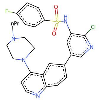 CCCN1CCN(c2ccnc3ccc(-c4cnc(Cl)c(NS(=O)(=O)c5ccc(F)cc5)c4)cc23)CC1